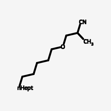 CCCCCCCCCCCCOCC(C)C#N